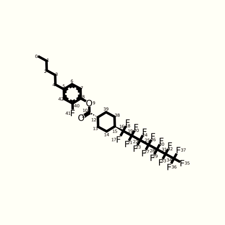 CCCCCc1ccc(OC(=O)[C@H]2CC[C@H](C(F)(F)C(F)(F)C(F)(F)C(F)(F)C(F)(F)C(F)(F)C(F)(F)F)CC2)c(F)c1